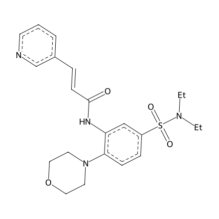 CCN(CC)S(=O)(=O)c1ccc(N2CCOCC2)c(NC(=O)C=Cc2cccnc2)c1